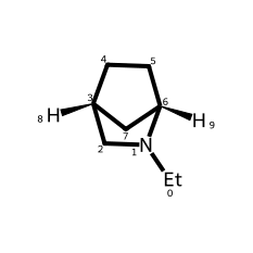 CCN1C[C@@H]2CC[C@H]1C2